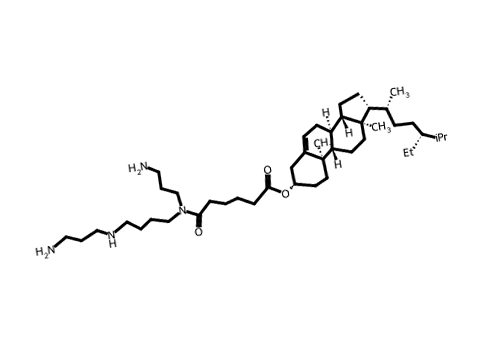 CC[C@H](CC[C@@H](C)[C@H]1CC[C@H]2[C@@H]3CC=C4C[C@@H](OC(=O)CCCCC(=O)N(CCCN)CCCCNCCCN)CC[C@]4(C)[C@H]3CC[C@]12C)C(C)C